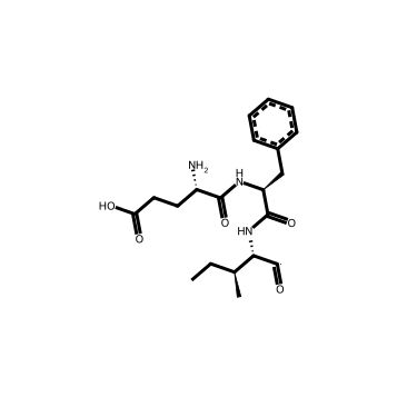 CC[C@H](C)[C@@H]([C]=O)NC(=O)[C@H](Cc1ccccc1)NC(=O)[C@@H](N)CCC(=O)O